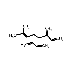 C=CC(=C)CCC=C(C)C.C=CC=C